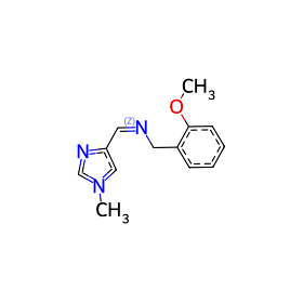 COc1ccccc1C/N=C\c1cn(C)cn1